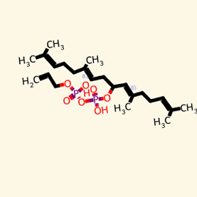 C=CCOP(=O)(O)OP(=O)(O)OC(/C=C(\C)CCC=C(C)C)C/C=C(\C)CCC=C(C)C